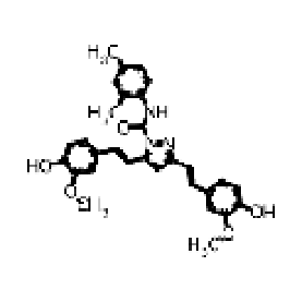 COc1cc(/C=C/c2cc(/C=C/c3ccc(O)c(OC)c3)n(C(=O)Nc3ccc(C)cc3C)n2)ccc1O